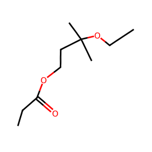 CCOC(C)(C)CCOC(=O)CC